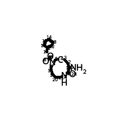 NC1CCCCN(C(=O)OCc2ccccc2)CCCCCNC1=O